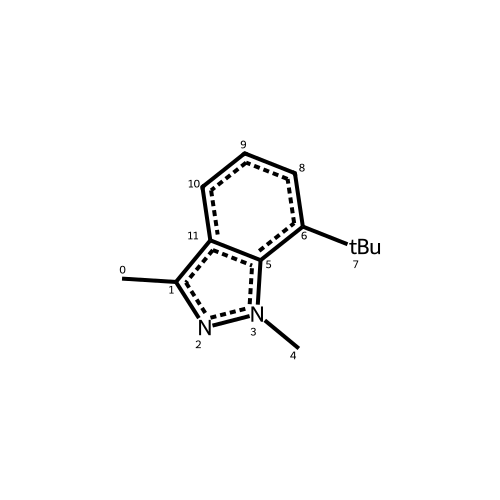 Cc1nn(C)c2c(C(C)(C)C)cccc12